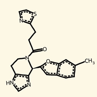 Cc1ccc2cc([C@H]3c4nc[nH]c4CCN3C(=O)CCc3nccs3)oc2c1